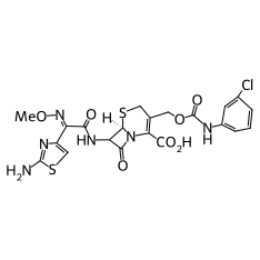 CO/N=C(/C(=O)NC1C(=O)N2C(C(=O)O)=C(COC(=O)Nc3cccc(Cl)c3)CS[C@H]12)c1csc(N)n1